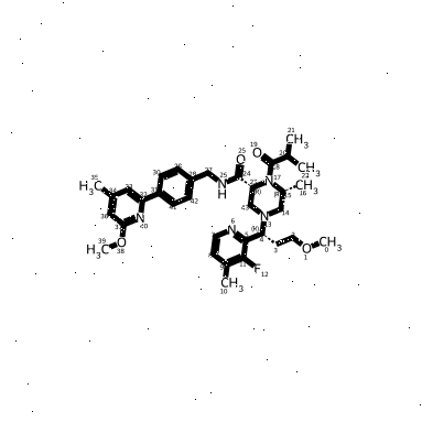 COCC[C@H](c1nccc(C)c1F)N1C[C@@H](C)N(C(=O)C(C)C)[C@@H](C(=O)NCc2ccc(-c3cc(C)cc(OC)n3)cc2)C1